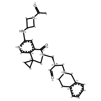 CC(=O)N1CC(Nc2cc3c(cn2)C2(CC2)CN(C[C@H](C=O)CN2CCc4ccccc4C2)C3=O)C1